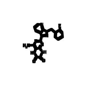 Nc1nc(-c2nn(Cc3ccccc3F)c3ncccc23)nc2[nH]c(=O)c(=O)[nH]c12